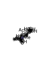 COP(=O)(O)CC1[C@@H](COC(=O)OCc2ccccc2)O[C@@H](n2ccc(=O)[nH]c2=O)[C@H]1C/C=C/CCCCNC(=S)NCCCCO[C@@H]1O[C@H](CO)[C@H](O)[C@H](O)[C@H]1NC(C)=O